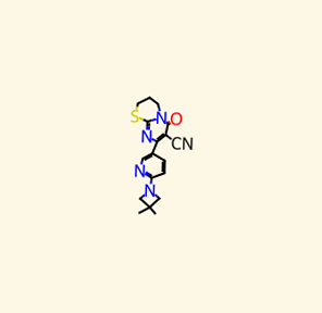 CC1(C)CN(c2ccc(-c3nc4n(c(=O)c3C#N)CCCS4)cn2)C1